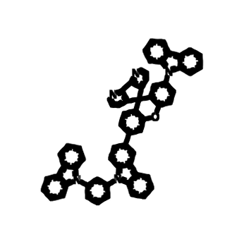 c1cc(-n2c3ccccc3c3ccccc32)cc(-n2c3ccccc3c3cc(-c4ccc5c(c4)Oc4ccc(-n6c7ccccc7c7ccccc76)cc4C54c5cccnc5-c5ncccc54)ccc32)c1